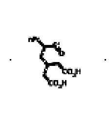 CCCC(CC(CC(=O)O)CC(=O)O)[S+]=O